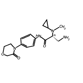 CN(C1CC1)[C@H](CN)C(=O)Nc1ccc(N2CCOCC2=O)cc1